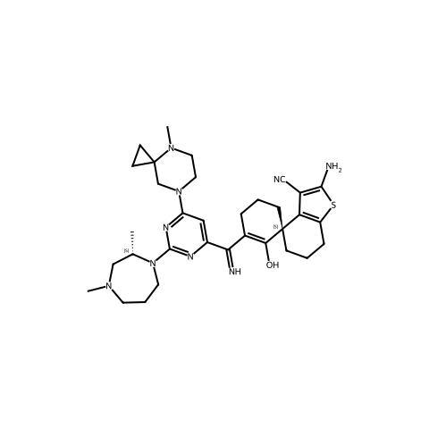 C[C@H]1CN(C)CCCN1c1nc(C(=N)C2=C(O)[C@@]3(CCC2)CCCc2sc(N)c(C#N)c23)cc(N2CCN(C)C3(CC3)C2)n1